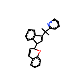 CC(C)(C1=CC(C2C=Cc3ccccc3O2)c2ccccc21)c1ccccn1